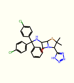 CC1(C)SC2C(NC(c3ccccc3)(c3ccc(Cl)cc3)c3ccc(Cl)cc3)C(=O)N2C1c1nnn[nH]1